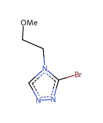 COCCn1cnnc1Br